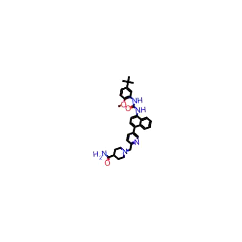 COc1ccc(C(C)(C)C)cc1NC(=O)Nc1ccc(-c2ccc(CN3CCC(C(N)=O)CC3)nc2)c2ccccc12